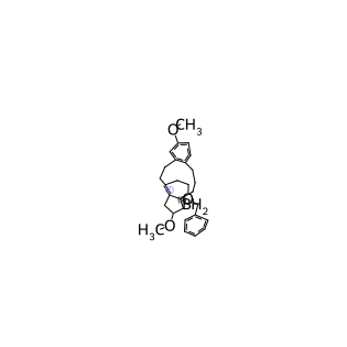 B[C@@]12CCCc3ccc(OC)cc3CC/C(CCOCc3ccccc3)=C/1CC(OC)C2